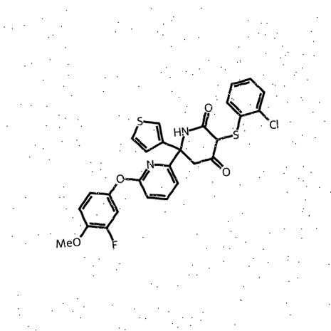 COc1ccc(Oc2cccc(C3(c4ccsc4)CC(=O)C(Sc4ccccc4Cl)C(=O)N3)n2)cc1F